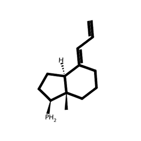 C=C/C=C1\CCC[C@]2(C)[C@@H](P)CC[C@@H]12